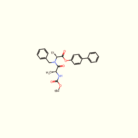 CC[C@@H](C(=O)Oc1ccc(-c2ccccc2)cc1)N(Cc1ccccc1)C(=O)[C@H](C)NC(=O)OC(C)(C)C